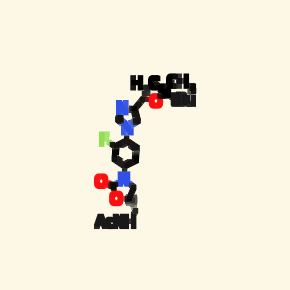 CC(=O)NC[C@H]1CN(c2ccc(-n3cnc(CO[Si](C)(C)C(C)(C)C)c3)c(F)c2)C(=O)O1